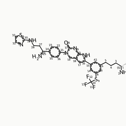 C[C@H](N)CCCc1cc(SC(F)(F)F)cc(-c2cc3cn(-c4ccc([C@@H](N)CCNc5nccs5)cc4)c(=O)nc3[nH]2)c1